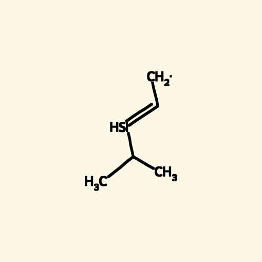 [CH2]C=[SiH]C(C)C